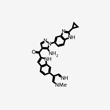 CN/C=C(\C=N)c1ccc2cc(C(=O)c3cnn(-c4ccc5[nH]c(C6CC6)nc5c4)c3N)[nH]c2c1